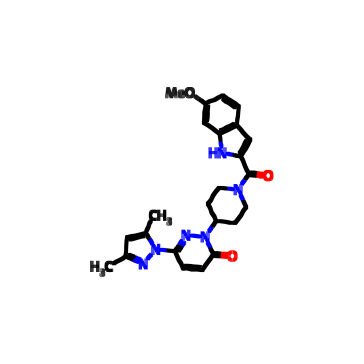 COc1ccc2cc(C(=O)N3CCC(n4nc(-n5nc(C)cc5C)ccc4=O)CC3)[nH]c2c1